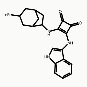 CCCC1CC2CC(C1)C(Nc1c(Nc3c[nH]c4ccccc34)c(=O)c1=O)C2